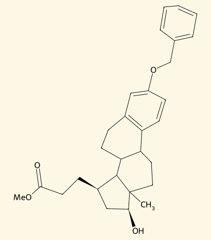 COC(=O)CC[C@@H]1C[C@H](O)C2(C)CCC3c4ccc(OCc5ccccc5)cc4CCC3C12